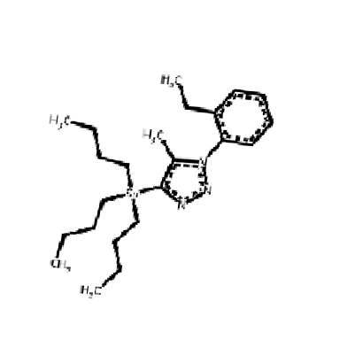 CCC[CH2][Sn]([CH2]CCC)([CH2]CCC)[c]1nnn(-c2ccccc2CC)c1C